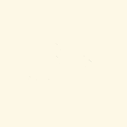 CC(C)NC(=O)N1Cc2cc(C(N)=O)nc(-c3cccc(-c4cc5ccccc5o4)c3)c2[C@H]1CCO[Si](c1ccccc1)(c1ccccc1)C(C)(C)C